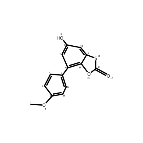 COc1ccc(-c2cc(O)cc3sc(=O)oc23)cc1